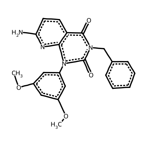 COc1cc(OC)cc(-n2c(=O)n(Cc3ccccc3)c(=O)c3ccc(N)nc32)c1